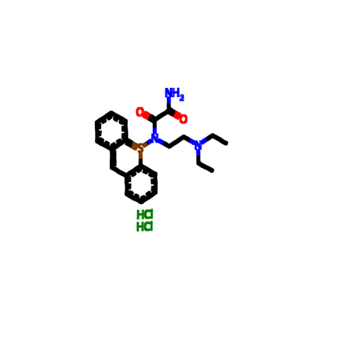 CCN(CC)CCN(C(=O)C(N)=O)S1=c2ccccc2=Cc2ccccc21.Cl.Cl